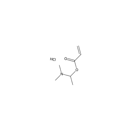 C=CC(=O)OC(C)N(C)C.Cl